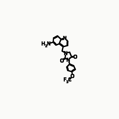 Nc1ccc2nccc(CN3CC(=O)N(c4ccc(OC(F)(F)F)cc4)C3=O)c2c1